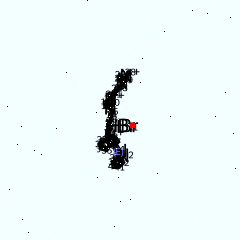 Br.Br.CN(/N=C/c1cc[n+](CCCCCCn2cc[n+](CCCCn3cc[n+](C)c3)c2)c2ccccc12)c1ccccc1